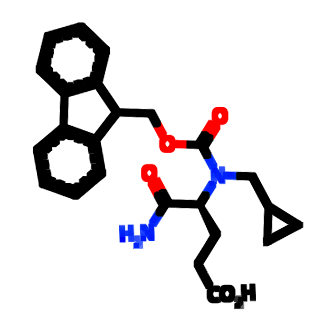 NC(=O)[C@H](CCC(=O)O)N(CC1CC1)C(=O)OCC1c2ccccc2-c2ccccc21